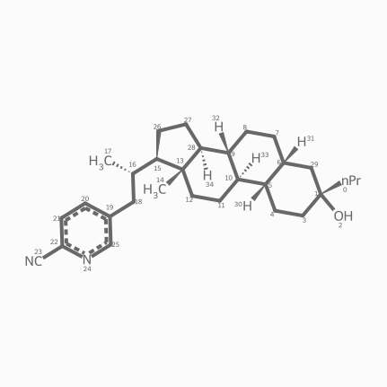 CCC[C@@]1(O)CC[C@H]2[C@H](CC[C@@H]3[C@@H]2CC[C@]2(C)[C@@H]([C@@H](C)Cc4ccc(C#N)nc4)CC[C@@H]32)C1